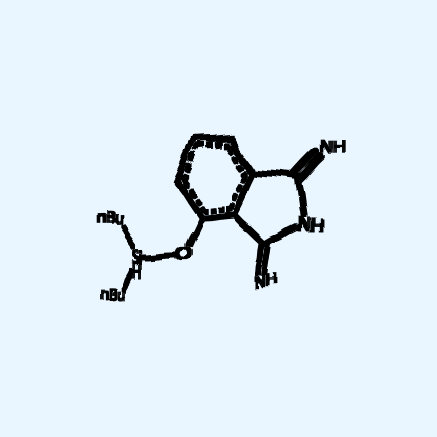 CCCC[SiH](CCCC)Oc1cccc2c1C(=N)NC2=N